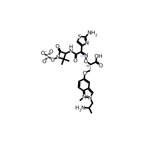 CC(N)Cn1cc2cc(OC[C@H](O/N=C(\C(=O)NC3C(=O)N(OS(=O)(=O)[O-])C3(C)C)c3csc(N)n3)C(=O)O)ccc2[n+]1C